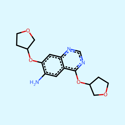 Nc1cc2c(OC3CCOC3)ncnc2cc1OC1CCOC1